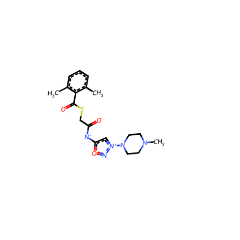 Cc1cccc(C)c1C(=O)SCC(=O)[N-]c1c[n+](N2CCN(C)CC2)no1